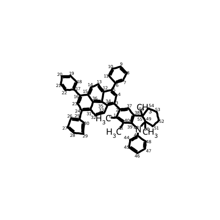 Cc1c(-c2cc(-c3ccccc3)c3ccc4c(-c5ccccc5)cc(-c5ccccc5)c5ccc2c3c45)cc2c(c1C)N(c1ccccc1)C1(C)CCCCC21C